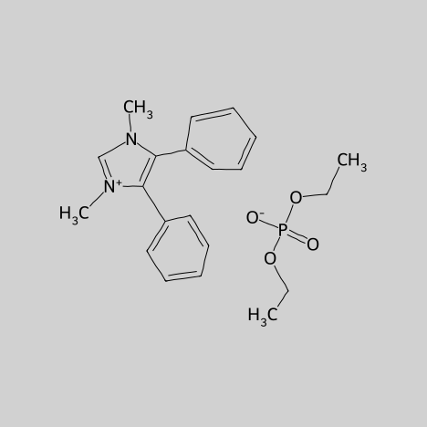 CCOP(=O)([O-])OCC.Cn1c[n+](C)c(-c2ccccc2)c1-c1ccccc1